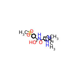 CCC1N/C=C(C(=O)NC(CO)c2ccc(S(=O)(=O)CC)cc2)\C=C(/C)CN1C